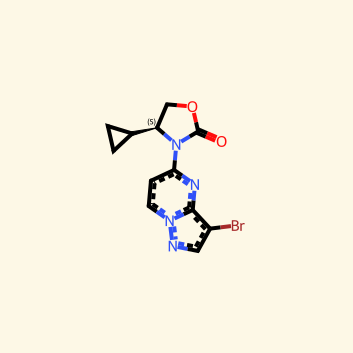 O=C1OC[C@H](C2CC2)N1c1ccn2ncc(Br)c2n1